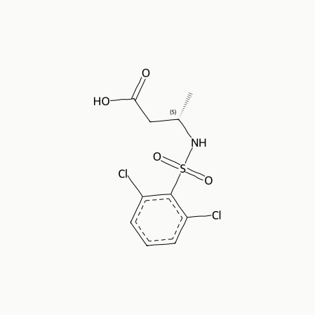 C[C@@H](CC(=O)O)NS(=O)(=O)c1c(Cl)cccc1Cl